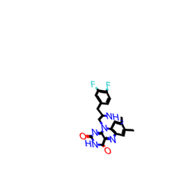 Cc1cc2nc3c(=O)[nH]c(=O)nc-3n(CC(N)Cc3ccc(F)c(F)c3)c2cc1C